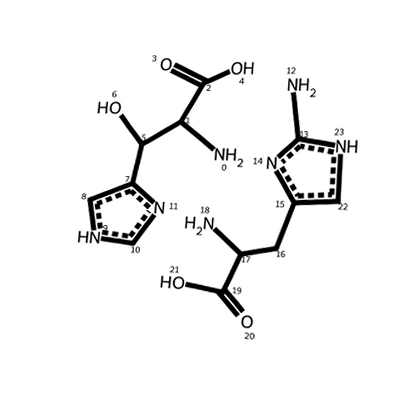 NC(C(=O)O)C(O)c1c[nH]cn1.Nc1nc(CC(N)C(=O)O)c[nH]1